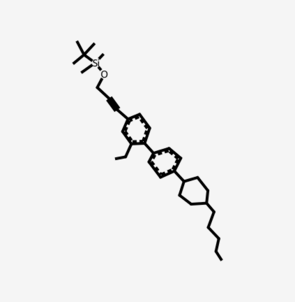 CCCCCC1CCC(c2ccc(-c3ccc(C#CCO[Si](C)(C)C(C)(C)C)cc3CC)cc2)CC1